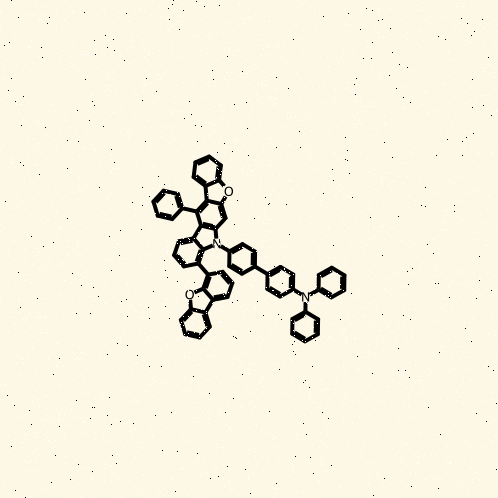 c1ccc(-c2c3c(cc4c2c2cccc(-c5cccc6c5oc5ccccc56)c2n4-c2ccc(-c4ccc(N(c5ccccc5)c5ccccc5)cc4)cc2)oc2ccccc23)cc1